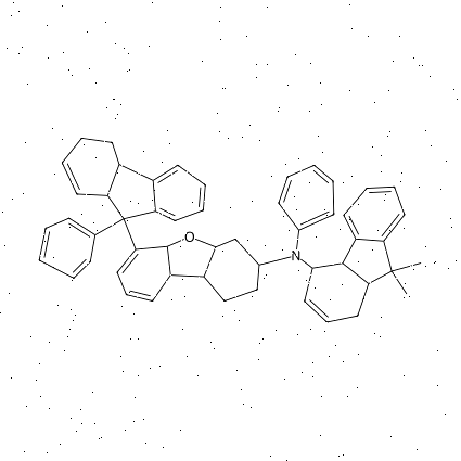 CC1(C)c2ccccc2C2C(N(c3ccccc3)C3CCC4C(C3)OC3C(C5(c6ccccc6)c6ccccc6C6CCC=CC65)=CC=CC34)C=CCC21